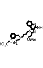 COCCc1nc2c(N)nc3ccccc3c2n1CCCCN(CCN(C)C)Cc1cccc(OCC(=O)O)c1